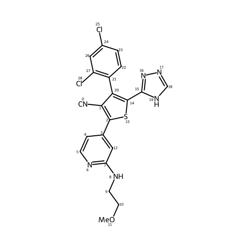 [C-]#[N+]c1c(-c2ccnc(NCCOC)c2)sc(-c2nnc[nH]2)c1-c1ccc(Cl)cc1Cl